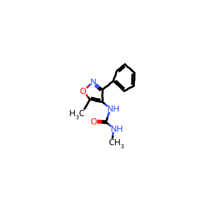 CNC(=O)Nc1c(-c2ccccc2)noc1C